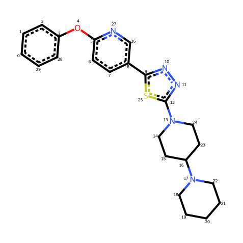 c1ccc(Oc2ccc(-c3nnc(N4CCC(N5CCCCC5)CC4)s3)cn2)cc1